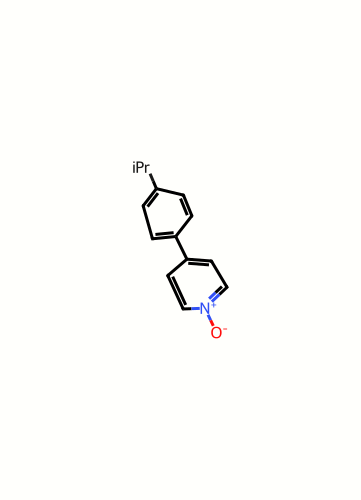 CC(C)c1ccc(-c2cc[n+]([O-])cc2)cc1